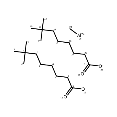 CC(C)(C)CCCCCC(=O)[O-].CC(C)(C)CCCCCC(=O)[O-].[CH3][Al+2]